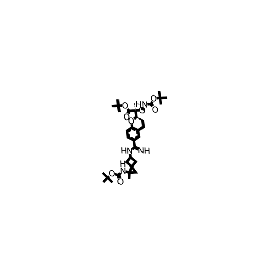 CC(C)(C)OC(=O)NO[C@](C)(C(=O)OC(C)(C)C)[C@H]1CCc2cc(C(=N)NC3CC4(C3)CC4(C)NC(=O)OC(C)(C)C)ccc2O1